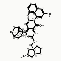 CCc1cccc2cc(O)cc(-n3ncc4c(C5=C6CNCC(C5)NC6)nc(OC[C@@]56CCCN5C[C@H](F)C6)nc4c3=O)c12